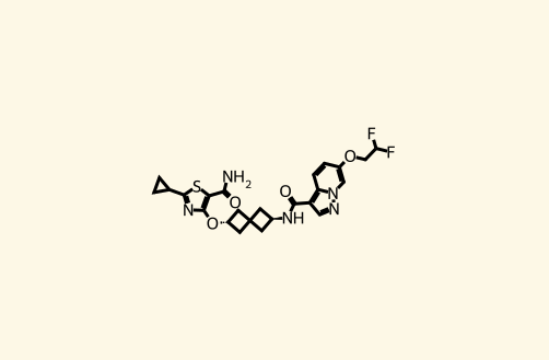 NC(=O)c1sc(C2CC2)nc1O[C@H]1CC2(C[C@H](NC(=O)c3cnn4cc(OCC(F)F)ccc34)C2)C1